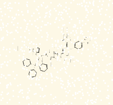 Nc1nc(C(=NOC(c2ccccc2)(c2ccccc2)c2ccccc2)C(=O)N[C@@H]2C(=O)N3C(C(=O)O)=C(C(Cc4ccc([N+](=O)[O-])cc4)=C4CCNC4=O)CS[C@H]23)cs1